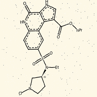 CCCOC(=O)c1c[nH]c2c(=O)[nH]c3ccc(S(=O)(=O)N(CC)[C@H]4CCN(Cl)C4)cc3c12